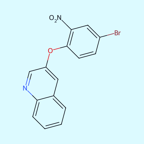 O=[N+]([O-])c1cc(Br)ccc1Oc1cnc2ccccc2c1